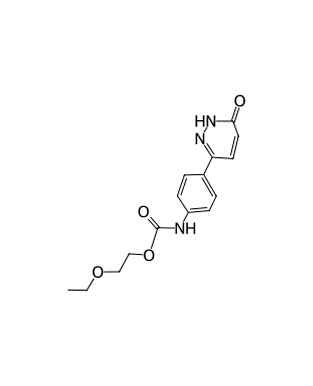 CCOCCOC(=O)Nc1ccc(-c2ccc(=O)[nH]n2)cc1